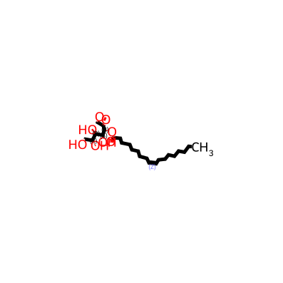 CCCCCCCC/C=C\CCCCCCCC(=O)O[C@@H](C1COO1)[C@@H](O)[C@H](O)[C@H](O)CO